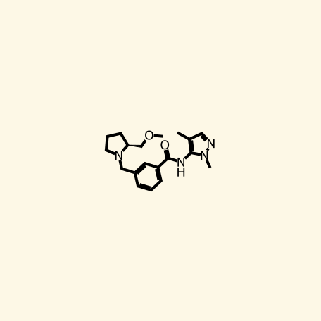 COC[C@@H]1CCCN1Cc1cccc(C(=O)Nc2c(C)cnn2C)c1